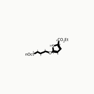 CCCCCCCCCCCOc1ccc(C(=O)OCC)s1